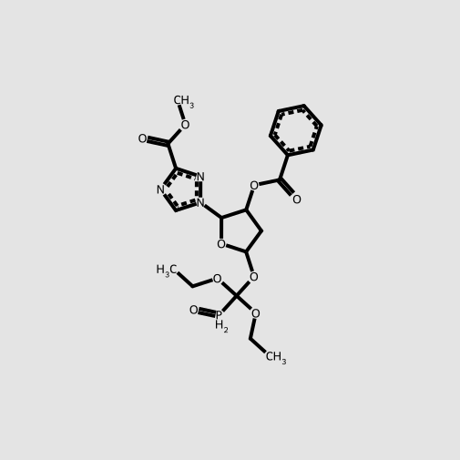 CCOC(OCC)(OC1CC(OC(=O)c2ccccc2)C(n2cnc(C(=O)OC)n2)O1)[PH2]=O